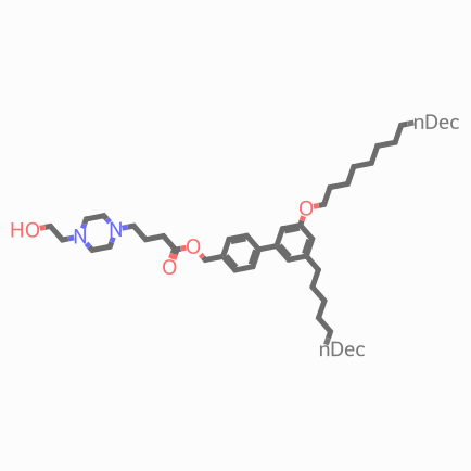 CCCCCCCCCCCCCCCCCCOc1cc(CCCCCCCCCCCCCCC)cc(-c2ccc(COC(=O)CCCN3CCN(CCO)CC3)cc2)c1